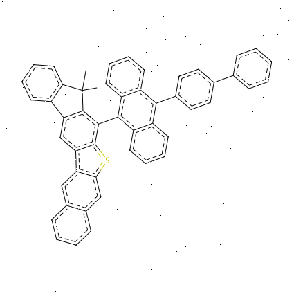 CC1(C)c2ccccc2-c2cc3c(sc4cc5ccccc5cc43)c(-c3c4ccccc4c(-c4ccc(-c5ccccc5)cc4)c4ccccc34)c21